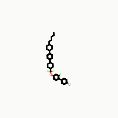 CCCCCC1CCC(c2ccc(C3CCC(C(F)(F)Oc4ccc(-c5ccc(Cl)cc5)c(F)c4)CC3)cc2)CC1